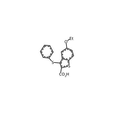 CCOc1ccc2sc(C(=O)O)c(Sc3ccccc3)c2c1